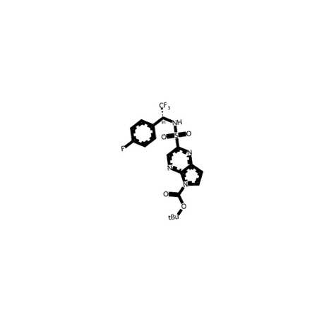 CC(C)(C)OC(=O)n1ccc2nc(S(=O)(=O)N[C@H](c3ccc(F)cc3)C(F)(F)F)cnc21